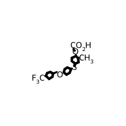 Cc1cc(Sc2ccc(OCc3ccc(C(F)(F)F)cc3)cc2)ccc1OCC(=O)O